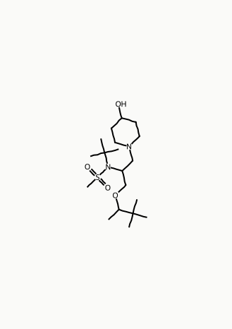 CC(OCC(CN1CCC(O)CC1)N(C(C)(C)C)S(C)(=O)=O)C(C)(C)C